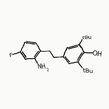 CC(C)(C)c1cc(CCc2ccc(F)cc2N)cc(C(C)(C)C)c1O